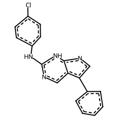 Clc1ccc(Nc2ncc3c(-c4ccccc4)cnc-3[nH]2)cc1